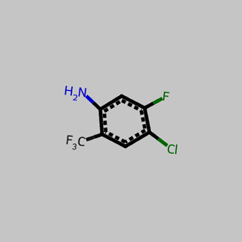 Nc1cc(F)c(Cl)cc1C(F)(F)F